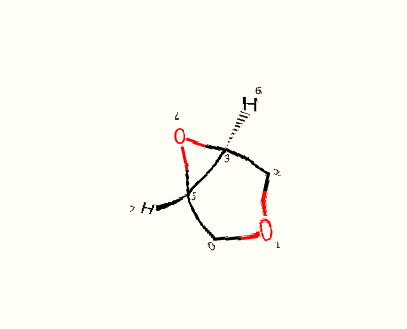 C1OC[C@@H]2O[C@@H]12